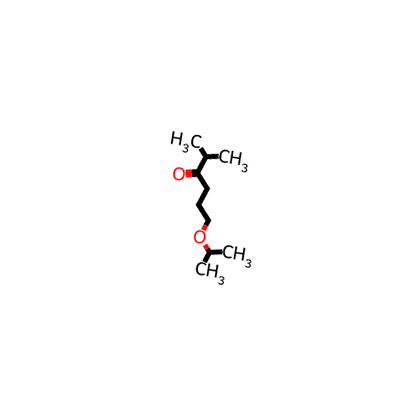 CC(C)OCCCC(=O)C(C)C